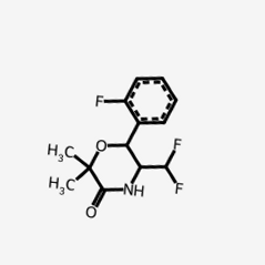 CC1(C)OC(c2ccccc2F)C(C(F)F)NC1=O